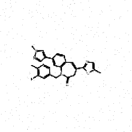 Cc1cnc(C2=Cc3ccc(-c4cnn(C)c4)cc3N(Cc3ccc(C)c(F)c3)C(=O)C2)o1